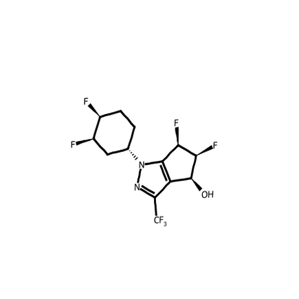 O[C@H]1c2c(C(F)(F)F)nn([C@H]3CC[C@H](F)[C@H](F)C3)c2[C@@H](F)[C@H]1F